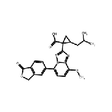 COc1ccc(-c2ccc3c(c2)COC3=O)n2nc(C3(C(=O)O)CC3CC(C)C)nc12